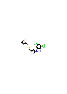 Clc1cc(Cl)cc(Nc2[c]oc(CSSCc3ccco3)c2)c1